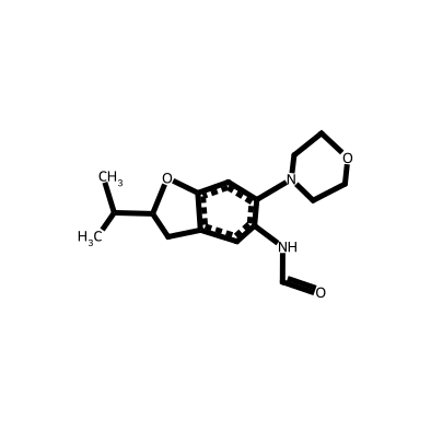 CC(C)C1Cc2cc(NC=O)c(N3CCOCC3)cc2O1